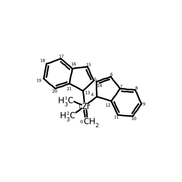 [CH2]=[Zr]([CH3])([CH3])([CH]1C=Cc2ccccc21)[CH]1C=Cc2ccccc21